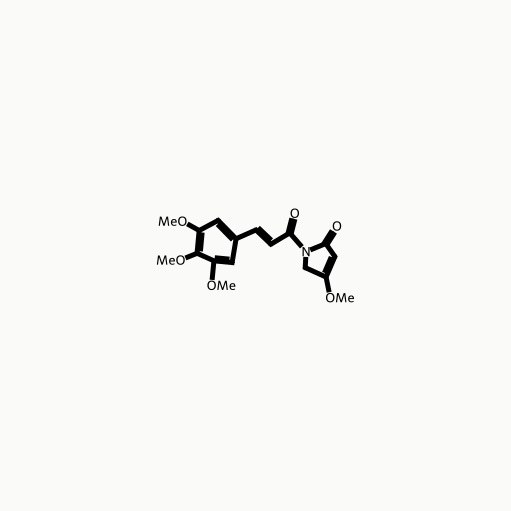 COC1=CC(=O)N(C(=O)/C=C/c2cc(OC)c(OC)c(OC)c2)C1